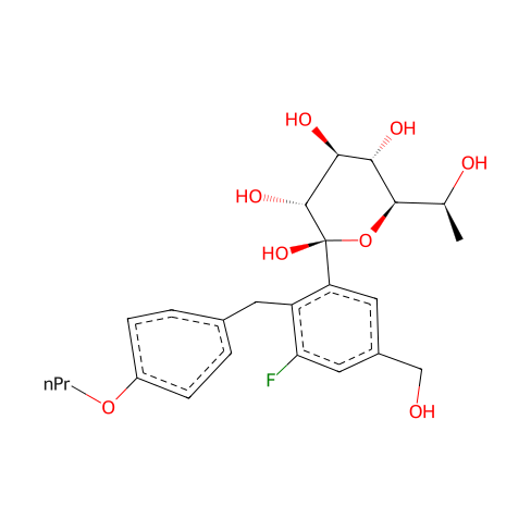 CCCOc1ccc(Cc2c(F)cc(CO)cc2[C@@]2(O)O[C@H]([C@H](C)O)[C@@H](O)[C@H](O)[C@H]2O)cc1